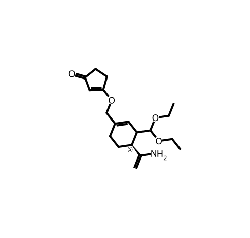 C=C(N)[C@H]1CCC(COC2=CC(=O)CC2)=CC1C(OCC)OCC